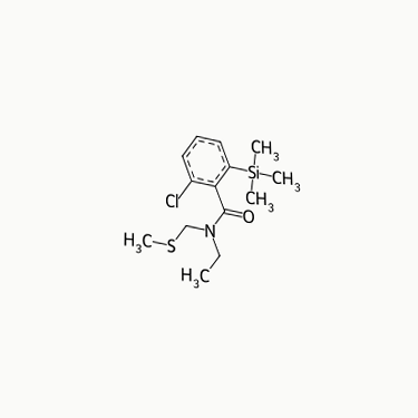 CCN(CSC)C(=O)c1c(Cl)cccc1[Si](C)(C)C